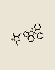 O=C1NC(=O)C(=Cc2csc(NC(c3ccccc3)(c3ccccc3)c3ccccc3)n2)S1